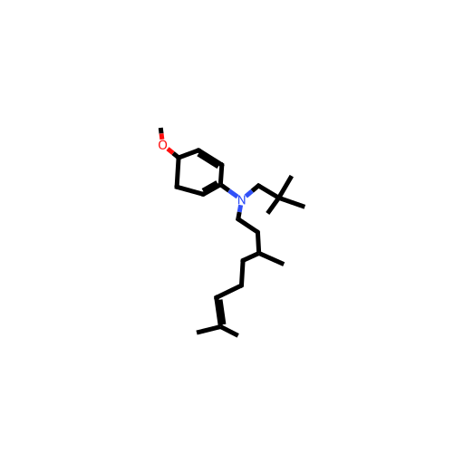 COC1C=CC(N(CCC(C)CCC=C(C)C)CC(C)(C)C)=CC1